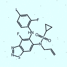 C=CCN(c1cc2snnc2c(F)c1Nc1ccc(I)cc1F)S(=O)(=O)C1CC1